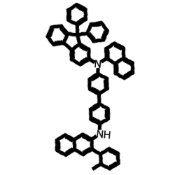 CC1C=CC=CC1c1cc2ccccc2cc1Nc1ccc(-c2ccc(N(c3ccc4c(c3)C(c3ccccc3)(c3ccccc3)c3ccccc3-4)c3cccc4ccccc34)cc2)cc1